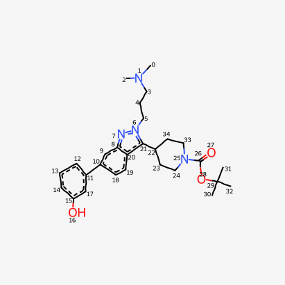 CN(C)CCCn1nc2cc(-c3cccc(O)c3)ccc2c1C1CCN(C(=O)OC(C)(C)C)CC1